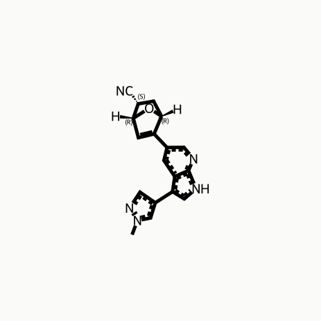 Cn1cc(-c2c[nH]c3ncc(C4=C[C@H]5O[C@@H]4C[C@H]5C#N)cc23)cn1